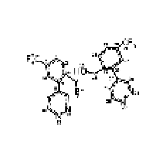 FC(F)(F)c1ccc(CBr)c(-c2ccnnc2)c1.OCc1ccc(C(F)(F)F)cc1-c1ccnnc1